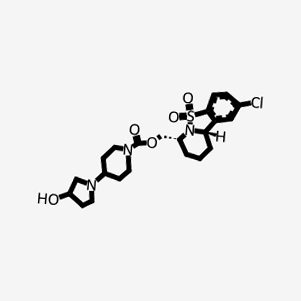 O=C(OC[C@H]1CCC[C@H]2c3cc(Cl)ccc3S(=O)(=O)N12)N1CCC(N2CCC(O)C2)CC1